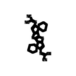 N#CC(C#N)=NC1=Cc2sc3c4c(sc3c2C12CCCCC2)C=C(N=C(C#N)C#N)C41CCCCC1